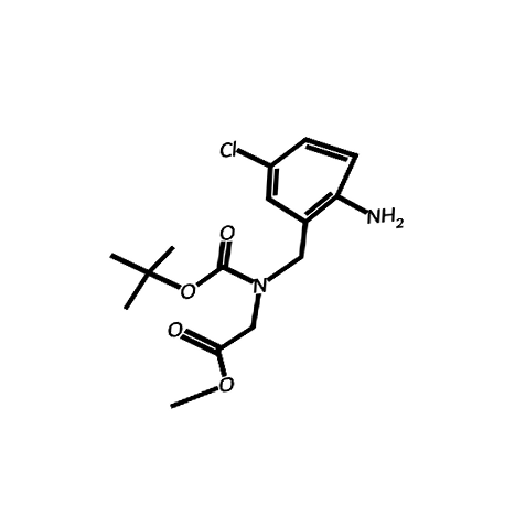 COC(=O)CN(Cc1cc(Cl)ccc1N)C(=O)OC(C)(C)C